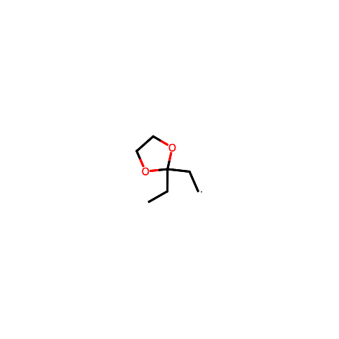 [CH2]CC1(CC)OCCO1